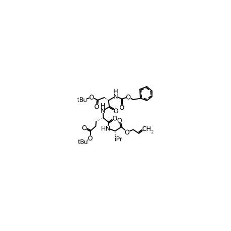 C=CCOC(=O)[C@@H](NC(=O)[C@H](CCC(=O)OC(C)(C)C)NC(=O)[C@H](CC(=O)OC(C)(C)C)NC(=O)OCc1ccccc1)C(C)C